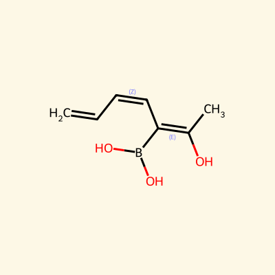 C=C/C=C\C(B(O)O)=C(/C)O